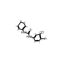 Fc1ccc(NC(=S)NC2=CC[CH]C=C2)cc1Cl